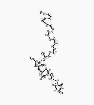 CC/C=C\C/C=C\C/C=C\C/C=C\C/C=C\C/C=C\CCC(=O)OCN1C(=O)SC(Cc2ccc(OCCc3ccc(CC)cn3)cc2)C1=O